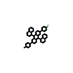 Cc1ccc(-c2ccc3c(-c4cccc5ccccc45)c4cc(-c5ccc(F)cc5)ccc4c(-c4cccc5ccccc45)c3c2)cc1